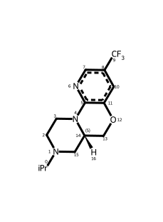 CC(C)N1CCN2c3ncc(C(F)(F)F)cc3OC[C@@H]2C1